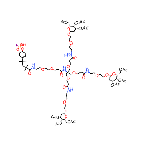 CC(=O)OC[C@H]1O[C@@H](OCCOCCNC(=O)CCOCC(COCCC(=O)NCCOCCO[C@H]2C[C@@H](OC(C)=O)[C@@H](OC(C)=O)[C@@H](COC(C)=O)O2)(COCCC(=O)NCCOCCO[C@H]2C[C@@H](OC(C)=O)[C@@H](OC(C)=O)[C@@H](COC(C)=O)O2)NC(=O)CCOCCOCCNC(=O)C(C)(C)CC(C)(C)C2CCC(OP(=O)(O)I)CC2)C[C@@H](OC(C)=O)[C@H]1OC(C)=O